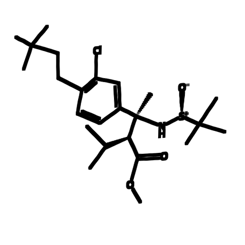 COC(=O)[C@@H](C(C)C)[C@](C)(N[S@@+]([O-])C(C)(C)C)c1ccc(CCC(C)(C)C)c(Cl)c1